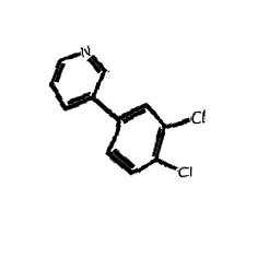 Clc1ccc(-c2[c]nccc2)cc1Cl